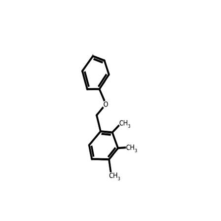 Cc1ccc(COc2cc[c]cc2)c(C)c1C